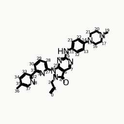 C=CCn1c(=O)c2cnc(Nc3ccc(N4CCN(C)CC4)cc3)nc2n1-c1cccc(-c2ccc(C)cn2)n1